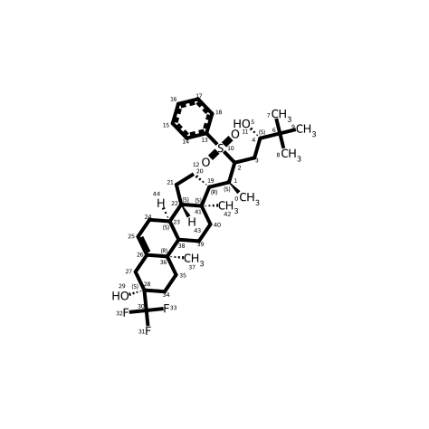 C[C@H](C(C[C@H](O)C(C)(C)C)S(=O)(=O)c1ccccc1)[C@H]1CC[C@H]2[C@@H]3CC=C4C[C@](O)(C(F)(F)F)CC[C@]4(C)C3CC[C@]12C